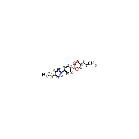 CCC[C@H]1CO[C@H](c2ccc(-c3ncc(CC)cn3)cc2)OC1